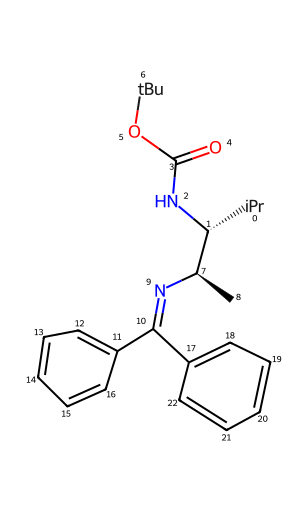 CC(C)[C@@H](NC(=O)OC(C)(C)C)[C@@H](C)N=C(c1ccccc1)c1ccccc1